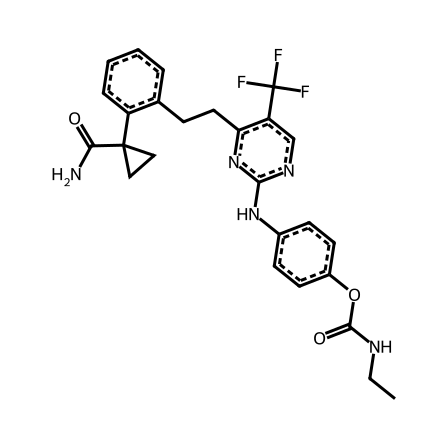 CCNC(=O)Oc1ccc(Nc2ncc(C(F)(F)F)c(CCc3ccccc3C3(C(N)=O)CC3)n2)cc1